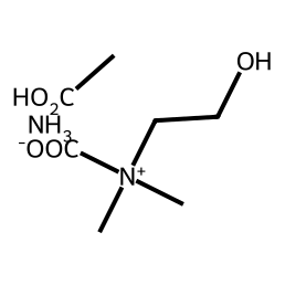 CC(=O)O.C[N+](C)(CCO)C(=O)[O-].N